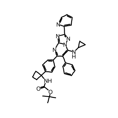 CC(C)(C)OC(=O)NC1(c2ccc(-c3nc4nc(-c5ccccn5)nn4c(NC4CC4)c3-c3ccccc3)cc2)CCC1